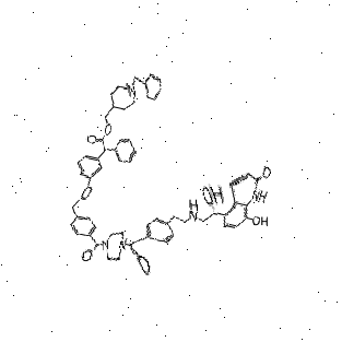 O=C(OCC1CCN(Cc2ccccc2)CC1)C(c1ccccc1)c1cccc(OCc2ccc(C(=O)N3CCN(C(=O)c4ccc(CCNC[C@H](O)c5ccc(O)c6[nH]c(=O)ccc56)cc4)CC3)cc2)c1